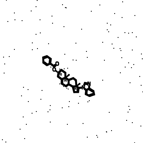 C[C@]12CC[C@H](OC(=O)c3ccccc3)CC1=CCC1C2CC[C@]2(C)C(n3cnc4ccccc43)=CCC12